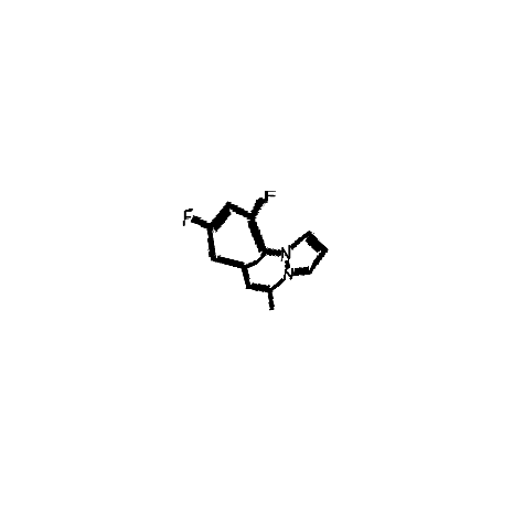 Cc1cc2cc(F)cc(F)c2n2ccc[n+]12